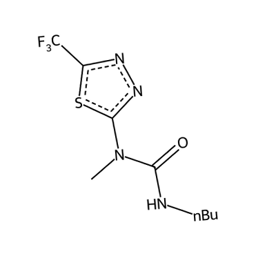 CCCCNC(=O)N(C)c1nnc(C(F)(F)F)s1